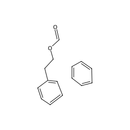 O=COCCc1ccccc1.c1ccccc1